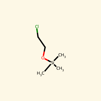 C[Si](C)(C)OCCCl